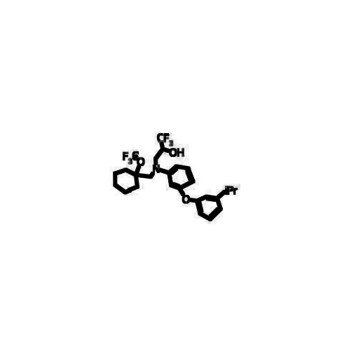 CC(C)c1cccc(Oc2cccc(N(CC(O)C(F)(F)F)CC3(OC(F)(F)F)CCCCC3)c2)c1